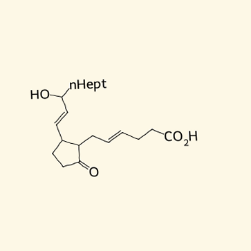 CCCCCCCC(O)C=CC1CCC(=O)C1CC=CCCC(=O)O